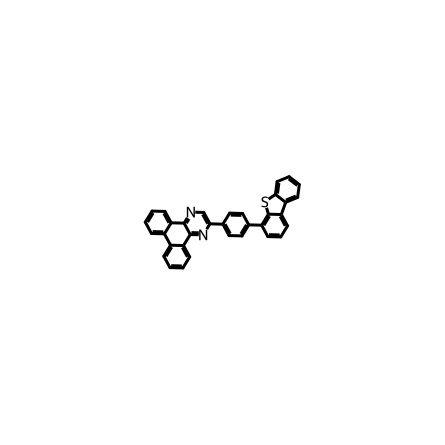 c1ccc2c(c1)sc1c(-c3ccc(-c4cnc5c6ccccc6c6ccccc6c5n4)cc3)cccc12